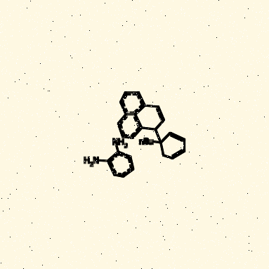 CCCCC1(C2C=Cc3cccc4cccc2c34)C=CC=CC1.Nc1ccccc1N